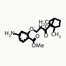 COC(=O)c1ccc(N)cc1OCCC(=O)C1CC2CCC1(C)C2(C)C